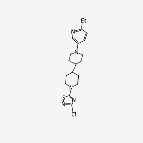 CCc1ccc(N2CCC(C3CCN(c4nc(Cl)ns4)CC3)CC2)cn1